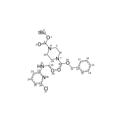 CC(C)(C)OC(=O)N1CCN(C(=O)OCc2ccccc2)[C@H](C(=O)Nc2cccc(Cl)n2)C1